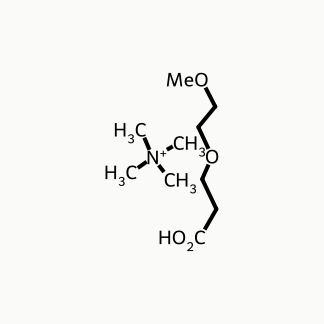 COCCOCCC(=O)O.C[N+](C)(C)C